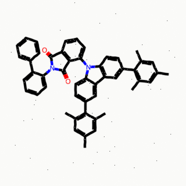 Cc1cc(C)c(-c2ccc3c(c2)c2cc(-c4c(C)cc(C)cc4C)ccc2n3-c2cccc3c2C(=O)N(c2ccccc2-c2ccccc2)C3=O)c(C)c1